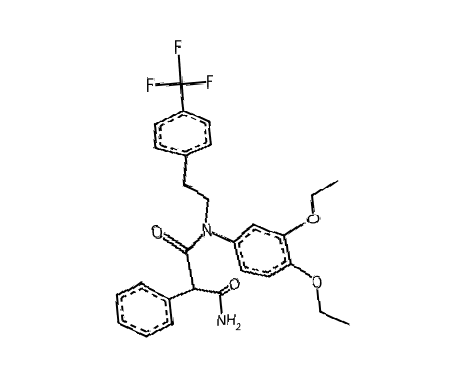 CCOc1ccc(N(CCc2ccc(C(F)(F)F)cc2)C(=O)C(C(N)=O)c2ccccc2)cc1OCC